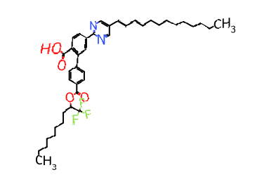 CCCCCCCCCCCCCc1cnc(-c2ccc(C(=O)O)c(-c3ccc(C(=O)OC(CCCCCCCC)C(F)(F)F)cc3)c2)nc1